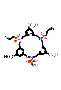 CCCCS(=O)(=O)N1Cc2cc(cc(C(=O)O)c2)CN(S(=O)(=O)CCC(C)C)Cc2cc(cc(C(=O)O)c2)CN(S(=O)(=O)CCC(C)C)Cc2cc(cc(C(=O)O)c2)C1